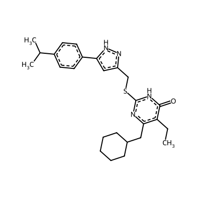 CCc1c(CC2CCCCC2)nc(SCc2cc(-c3ccc(C(C)C)cc3)[nH]n2)[nH]c1=O